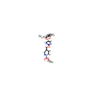 CC(C)(C)OC(=O)N1CCC(COc2ncc(B3OC(C)(C)C(C)(C)O3)cn2)CC1